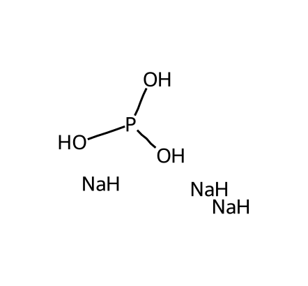 OP(O)O.[NaH].[NaH].[NaH]